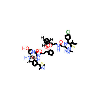 Cc1ncsc1-c1ccc([C@H](C)NC(=O)[C@@H]2C[C@@H](O)CN2C(=O)[C@@H](NC(=O)CCc2ccccc2B2O[C@H]3C[C@H]4C[C@H](C4(C)C)[C@@]3(CCCNC(=O)C[C@@H]3N=C(c4ccc(Cl)cc4)c4c(sc(C)c4C)-n4c(C)nnc43)O2)C(C)(C)C)cc1